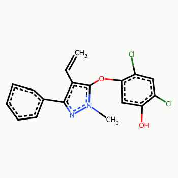 C=Cc1c(-c2ccccc2)nn(C)c1Oc1cc(O)c(Cl)cc1Cl